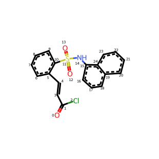 O=C(Cl)C=Cc1ccccc1S(=O)(=O)Nc1cccc2ccccc12